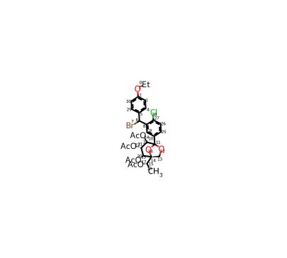 CCOc1ccc(C(Br)c2cc(C34OC[C@]([C@H](C)OC(C)=O)(O3)[C@@H](OC(C)=O)[C@H](OC(C)=O)[C@H]4OC(C)=O)ccc2Cl)cc1